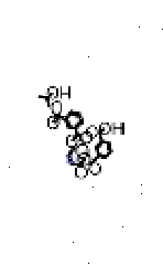 CC(O)COC(=O)c1cccc(C(=O)OC(=O)/C=C\C(=O)OC(=O)c2cccc(C(=O)O)c2)c1